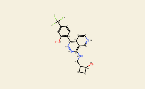 Oc1cc(C(F)(F)F)ccc1-c1nnc(NC[C@@H]2CCC2O)c2cnccc12